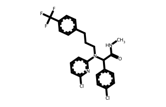 CNC(=O)C(c1ccc(Cl)cc1)N(CCCc1ccc(C(F)(F)F)cc1)c1cccc(Cl)n1